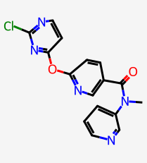 CN(C(=O)c1ccc(Oc2ccnc(Cl)n2)nc1)c1cccnc1